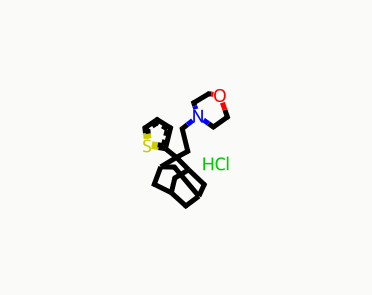 Cl.c1csc(C2(CCN3CCOCC3)C3CC4CC(C3)CC2C4)c1